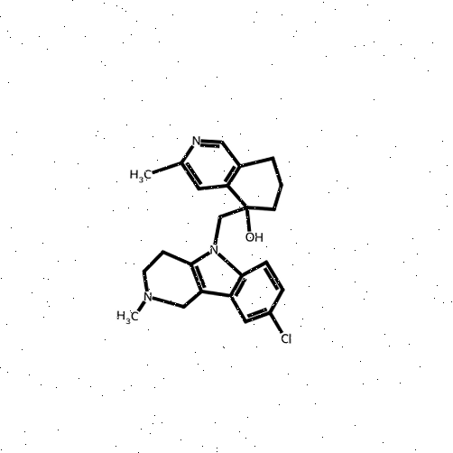 Cc1cc2c(cn1)CCCC2(O)Cn1c2c(c3cc(Cl)ccc31)CN(C)CC2